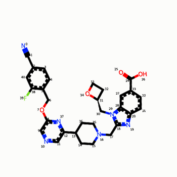 N#Cc1ccc(COc2cncc(C3CCN(Cc4nc5ccc(C(=O)O)cc5n4C[C@@H]4CCO4)CC3)n2)c(F)c1